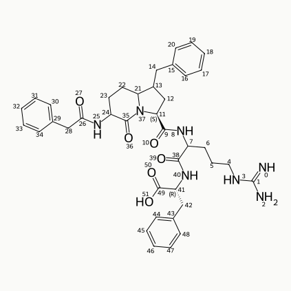 N=C(N)NCCCC(NC(=O)[C@@H]1CC(Cc2ccccc2)C2CCC(NC(=O)Cc3ccccc3)C(=O)N21)C(=O)N[C@H](Cc1ccccc1)C(=O)O